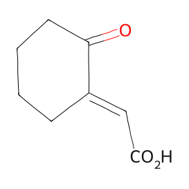 O=C(O)C=C1CCCCC1=O